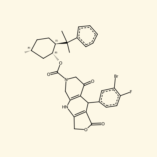 C[C@@H]1CC[C@@H](C(C)(C)c2ccccc2)[C@H](OC(=O)N2CC(=O)C3=C(C2)NC2=C(C(=O)OC2)C3c2ccc(F)c(Br)c2)C1